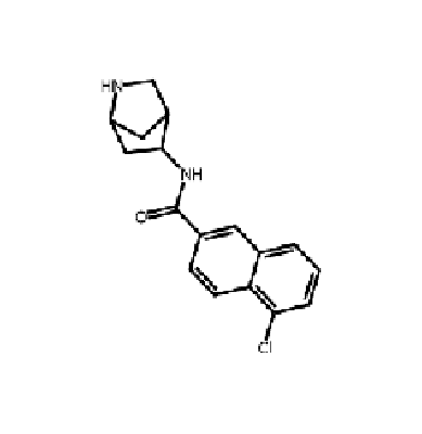 O=C(NC1CC2CC1CN2)c1ccc2c(Cl)cccc2c1